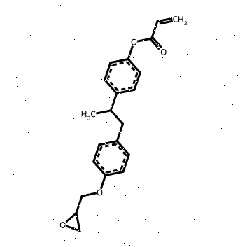 C=CC(=O)Oc1ccc(C(C)Cc2ccc(OCC3CO3)cc2)cc1